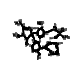 CN1C(=O)C(c2ccc(OS(C)(=O)=O)cc2)(c2ccc(F)c(-c3cncs3)c2)N=C1N.Cl